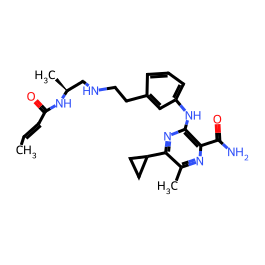 CC=CC(=O)N[C@@H](C)CNCCc1cccc(Nc2nc(C3CC3)c(C)nc2C(N)=O)c1